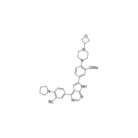 COc1cc(-c2cc3c(-c4ccc(N5CCCC5)c(C#N)c4)ncnc3[nH]2)ccc1N1CCN(C2COC2)CC1